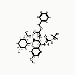 COc1ccc([C@H](NC(=O)OC(C)(C)C)[C@@H](NC(=O)OCc2ccccc2)C(=O)OC2C[C@H](C)CC[C@@H]2C(C)C)cc1